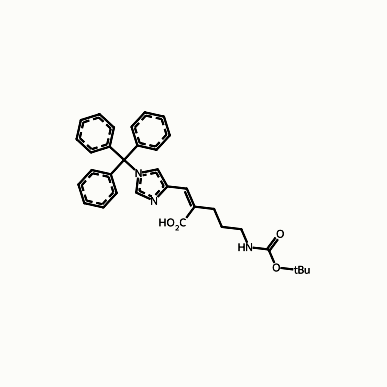 CC(C)(C)OC(=O)NCCC/C(=C/c1cn(C(c2ccccc2)(c2ccccc2)c2ccccc2)cn1)C(=O)O